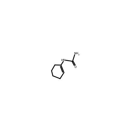 NC(=O)NC1=CCCCC1